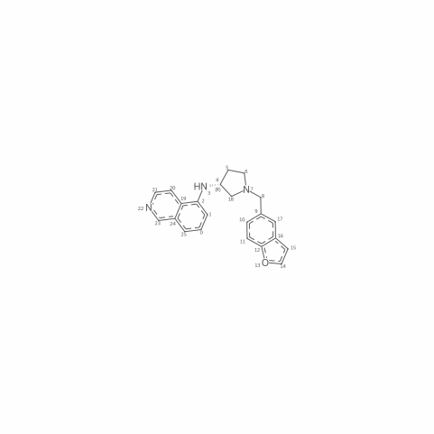 c1cc(N[C@@H]2CCN(Cc3ccc4occc4c3)C2)c2ccncc2c1